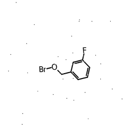 Fc1cccc(COBr)c1